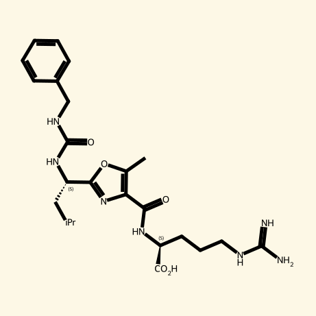 Cc1oc([C@H](CC(C)C)NC(=O)NCc2ccccc2)nc1C(=O)N[C@@H](CCCNC(=N)N)C(=O)O